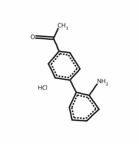 CC(=O)c1ccc(-c2ccccc2N)cc1.Cl